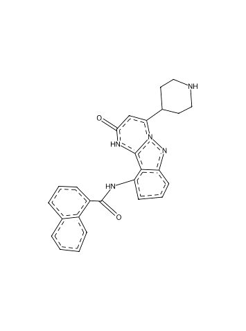 O=C(Nc1cccc2nn3c(C4CCNCC4)cc(=O)[nH]c3c12)c1cccc2ccccc12